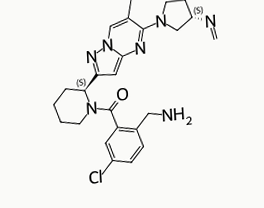 C=N[C@H]1CCN(c2nc3cc([C@@H]4CCCCN4C(=O)c4cc(Cl)ccc4CN)nn3cc2C)C1